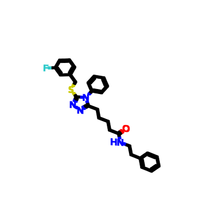 O=C(CCCCc1nnc(SCc2cccc(F)c2)n1-c1ccccc1)NCCc1ccccc1